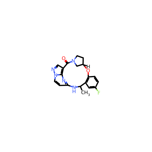 CC1Nc2ccn3ncc(c3n2)C(=O)N2CC[C@@H](C2)Oc2ccc(F)cc21